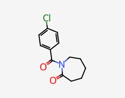 O=C1CCCCCN1C(=O)c1ccc(Cl)cc1